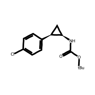 CC(C)(C)OC(=O)N[C@@H]1C[C@@H]1c1ccc(Cl)cc1